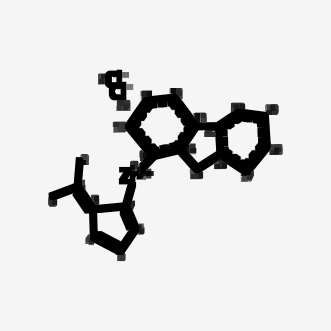 CC(C)=C1C=CC=[C]1[Zr+2][c]1cccc2c1Cc1ccccc1-2.[Cl-].[Cl-]